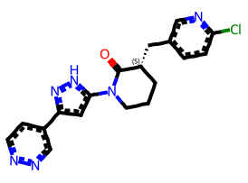 O=C1[C@H](Cc2ccc(Cl)nc2)CCCN1c1cc(-c2ccnnc2)n[nH]1